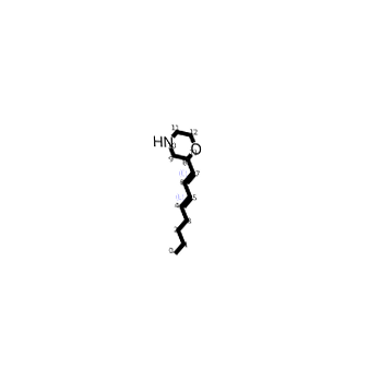 CCCC/C=C/C=C/C1CNCCO1